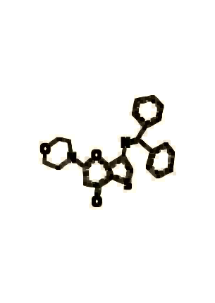 O=c1cc(N2CCOCC2)oc2c(N=C(c3ccccc3)c3ccccc3)csc12